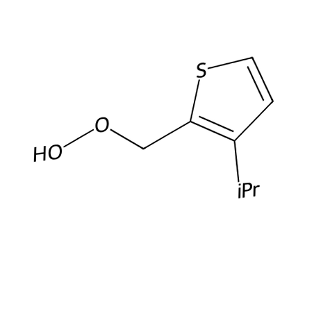 CC(C)c1ccsc1COO